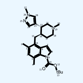 Cc1cc(C)c2c(ccn2C(=O)OC(C)(C)C)c1C[C@@H]1CCN(C)C[C@H]1c1cnn(C)c1